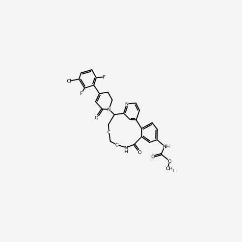 COC(=O)Nc1ccc2c(c1)C(=O)NCCCCC(N1CCC(c3c(F)ccc(Cl)c3F)=CC1=O)c1cc-2ccn1